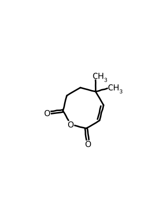 CC1(C)C=CC(=O)OC(=O)CC1